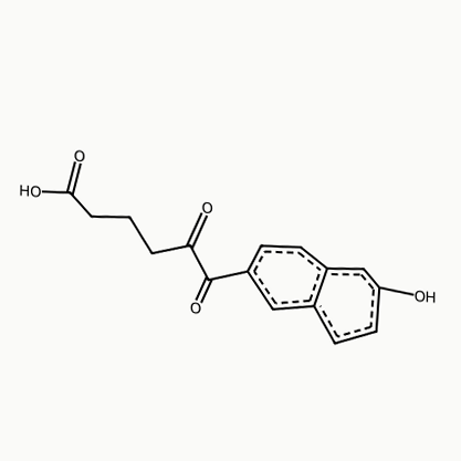 O=C(O)CCCC(=O)C(=O)c1ccc2cc(O)ccc2c1